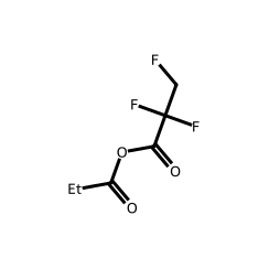 CCC(=O)OC(=O)C(F)(F)CF